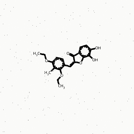 CCOc1ccc(/C=C2/Oc3c(ccc(O)c3O)C2=O)c(OCC)c1C